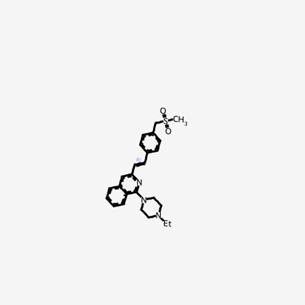 CCN1CCN(c2nc(/C=C/c3ccc(CS(C)(=O)=O)cc3)cc3ccccc23)CC1